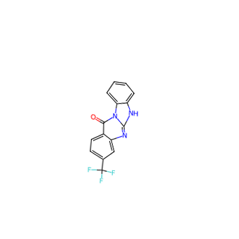 O=c1c2ccc(C(F)(F)F)cc2nc2[nH]c3ccccc3n12